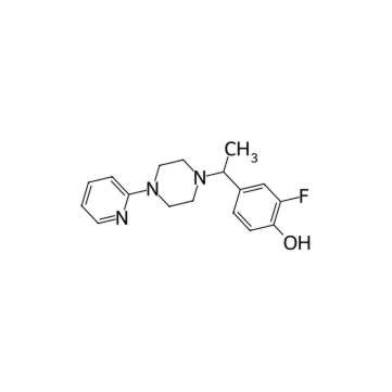 CC(c1ccc(O)c(F)c1)N1CCN(c2ccccn2)CC1